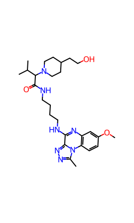 COc1ccc2c(c1)nc(NCCCCNC(=O)C(C(C)C)N1CCC(CCO)CC1)c1nnc(C)n12